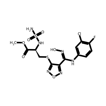 COC(=O)[C@H](CSc1nonc1C(=NO)Nc1ccc(F)c(Cl)c1)NS(N)(=O)=O